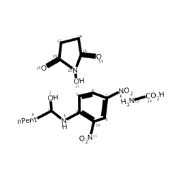 CCCCCC(O)Nc1ccc([N+](=O)[O-])cc1[N+](=O)[O-].NC(=O)O.O=C1CCC(=O)N1O